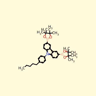 CCCCCc1ccc(-n2c3ccc(B4OC(C)(C)C(C)(C)O4)cc3c3cc(B4OC(C)(C)C(C)(C)O4)ccc32)cc1